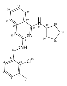 Cc1cccc(CNc2nc(NC3CCCC3)c3ccccc3n2)c1Cl